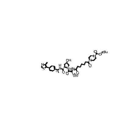 Cc1ncsc1-c1ccc([C@H](C)NC(=O)[C@@H]2C[C@@H](O)CN2C(=O)[C@@H](NC(=O)CCCCCC(=O)N2CCN(C(=O)OC(C)(C)C)CC2)C(C)(C)C)cc1